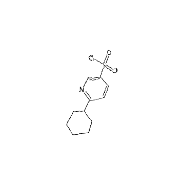 O=S(=O)(Cl)c1ccc(C2CCCCC2)nc1